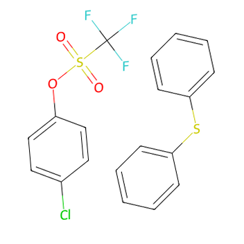 O=S(=O)(Oc1ccc(Cl)cc1)C(F)(F)F.c1ccc(Sc2ccccc2)cc1